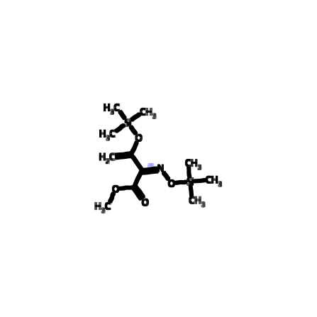 C=C(O[Si](C)(C)C)/C(=N/O[Si](C)(C)C)C(=O)OC